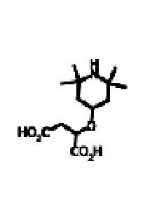 CC1(C)CC(OC(CC(=O)O)C(=O)O)CC(C)(C)N1